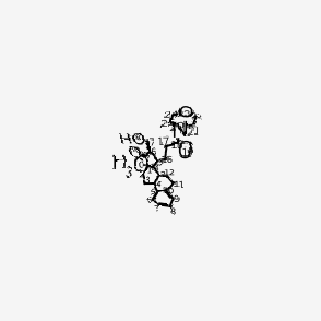 C[C@]12CCC3c4ccccc4CCC3C1[C@H](CCC(=O)N1CCOCC1)/C(=C/O)C2=O